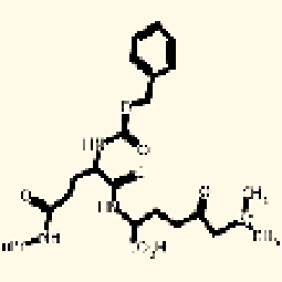 CCCNC(=O)CCC(NC(=O)OCc1ccccc1)C(=O)NC(CCC(=O)C[S+](C)C)C(=O)O